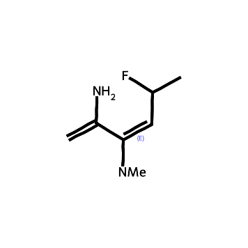 C=C(N)/C(=C\C(C)F)NC